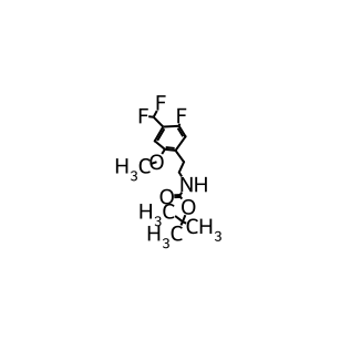 COc1cc(C(F)F)c(F)cc1CCNC(=O)OC(C)(C)C